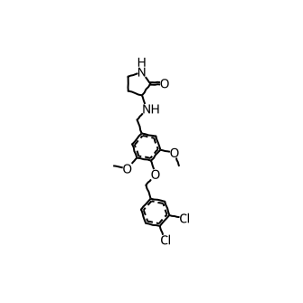 COc1cc(CNC2CCNC2=O)cc(OC)c1OCc1ccc(Cl)c(Cl)c1